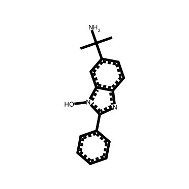 CC(C)(N)c1ccc2nc(-c3ccccc3)n(O)c2c1